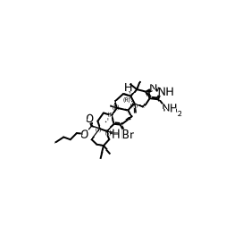 CCCCOC(=O)[C@]12CCC(C)(C)C[C@H]1C1=C(Br)CC3[C@@]4(C)Cc5c(n[nH]c5N)C(C)(C)[C@@H]4CC[C@@]3(C)[C@]1(C)CC2